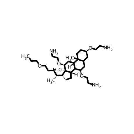 CCCOCCC[C@@H](C)[C@H]1CC[C@H]2C3[C@H](OCCN)CC4C[C@H](OCCN)CCC4(C)[C@H]3C[C@H](OCCN)[C@]12C